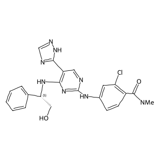 CNC(=O)c1ccc(Nc2ncc(-c3ncn[nH]3)c(N[C@H](CO)c3ccccc3)n2)cc1Cl